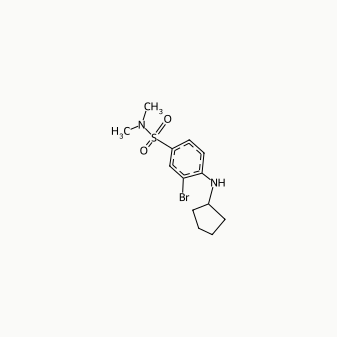 CN(C)S(=O)(=O)c1ccc(NC2CCCC2)c(Br)c1